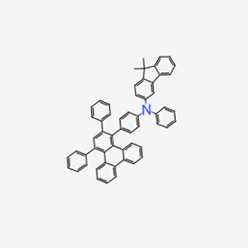 CC1(C)c2ccccc2-c2cc(N(c3ccccc3)c3ccc(-c4c(-c5ccccc5)cc(-c5ccccc5)c5c6ccccc6c6ccccc6c45)cc3)ccc21